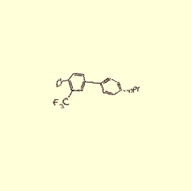 CCCc1ccc(-c2ccc(Cl)c(C(F)(F)F)c2)cc1